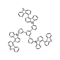 c1cc(-c2cc(-c3cccc(-n4c5ccccc5c5c(-c6cccc7sc8ccccc8c67)cccc54)c3)cc(-c3cccc(-n4c5ccccc5c5c(-c6cccc7sc8ccccc8c67)cccc54)c3)c2)cc(-n2c3ccccc3c3c(-c4cccc5sc6ccccc6c45)cccc32)c1